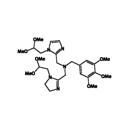 COc1cc(CN(CC2=NCCN2CC(OC)OC)Cc2nccn2CC(OC)OC)cc(OC)c1OC